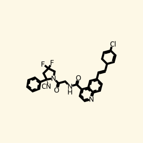 N#C[C@]1(c2ccccc2)CC(F)(F)CN1C(=O)CNC(=O)c1ccnc2ccc(/C=C/C3C=CC(Cl)=CC3)cc12